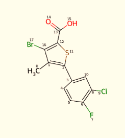 Cc1c(-c2ccc(F)c(Cl)c2)sc(C(=O)O)c1Br